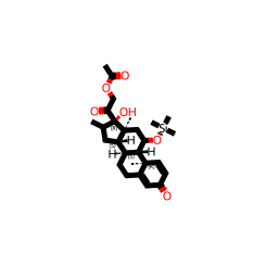 CC(=O)OCC(=O)[C@@]1(O)C(C)C[C@H]2[C@@H]3CCC4=CC(=O)C=C[C@]4(C)[C@H]3C(O[Si](C)(C)C)C[C@@]21C